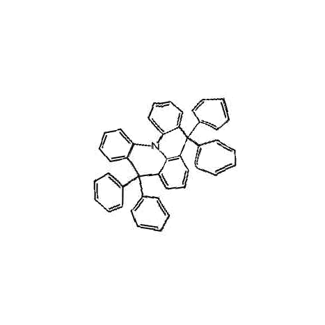 c1ccc(C2(c3ccccc3)c3ccccc3N3c4ccccc4C(c4ccccc4)(c4ccccc4)c4cccc2c43)cc1